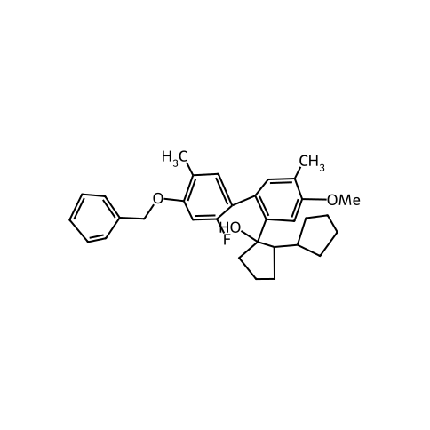 COc1cc(C2(O)CCCC2C2CCCC2)c(-c2cc(C)c(OCc3ccccc3)cc2F)cc1C